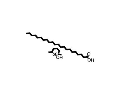 CC1CCC[Si](C)(O)O1.CCCCCCCCCCCCCCCCCCCCCC(=O)O